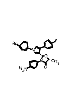 C[C@H]1O[C@H](c2cn(-c3ccc(Br)cc3)cc2-c2ccc(F)cc2)N(c2ccc(N)cc2)C1=O